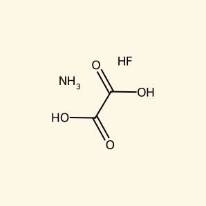 F.N.O=C(O)C(=O)O